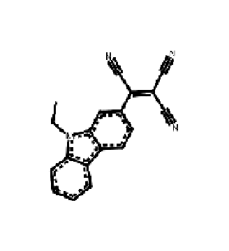 CCn1c2ccccc2c2ccc(C(C#N)=C(C#N)C#N)cc21